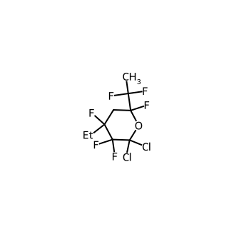 CCC1(F)CC(F)(C(C)(F)F)OC(Cl)(Cl)C1(F)F